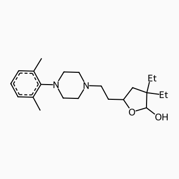 CCC1(CC)CC(CCN2CCN(c3c(C)cccc3C)CC2)OC1O